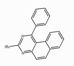 CC(C)(C)c1nc(-c2ccccc2)c2c(ccc3ccccc32)n1